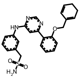 NS(=O)(=O)Cc1cccc(Nc2cc(-c3ccccc3OCC3=CCCC=C3)ncn2)c1